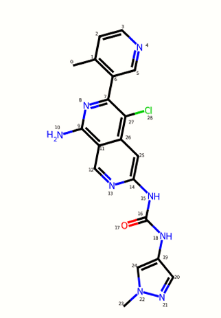 Cc1ccncc1-c1nc(N)c2cnc(NC(=O)Nc3cnn(C)c3)cc2c1Cl